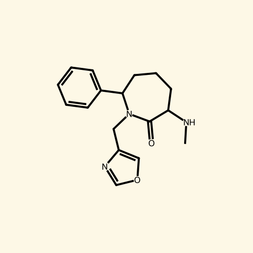 CNC1CCCC(c2ccccc2)N(Cc2cocn2)C1=O